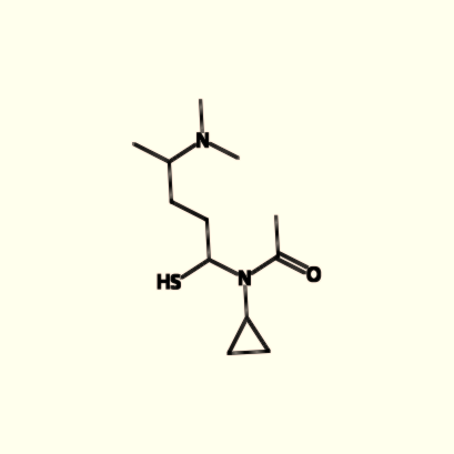 CC(=O)N(C(S)CCC(C)N(C)C)C1CC1